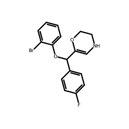 Fc1ccc(C(Oc2ccccc2Br)C2=CNCCO2)cc1